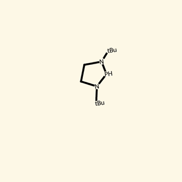 CC(C)(C)N1CCN(C(C)(C)C)P1